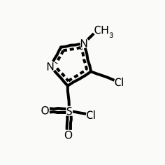 Cn1cnc(S(=O)(=O)Cl)c1Cl